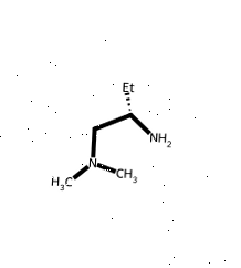 CC[C@H](N)CN(C)C